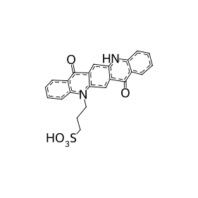 O=c1c2ccccc2[nH]c2cc3c(=O)c4ccccc4n(CCCS(=O)(=O)O)c3cc12